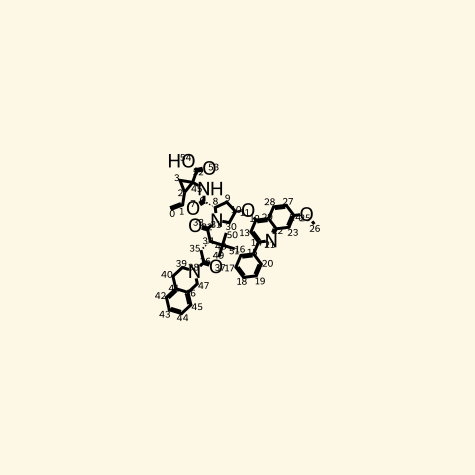 C=CC1CC1(NC(=O)[C@@H]1C[C@@H](Oc2cc(-c3ccccc3)nc3cc(OC)ccc23)CN1C(=O)[C@@H](CC(=O)N1CCc2ccccc2C1)C(C)(C)C)C(=O)O